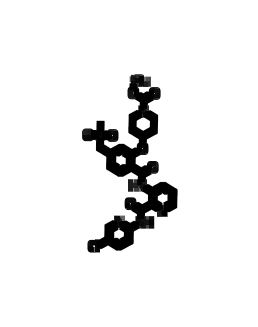 CC(C)(C)OC(=O)N1CCC(Oc2cc(CS(C)(=O)=O)ccc2C(=O)Nc2cccnc2C(=O)Nc2ccc(Cl)cn2)CC1